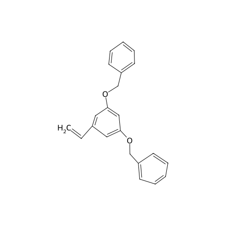 C=Cc1cc(OCc2ccccc2)cc(OCc2ccccc2)c1